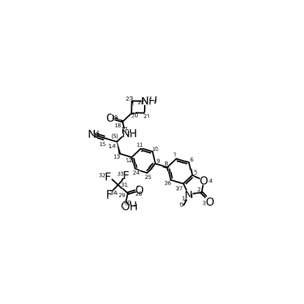 Cn1c(=O)oc2ccc(-c3ccc(C[C@@H](C#N)NC(=O)C4CNC4)cc3)cc21.O=C(O)C(F)(F)F